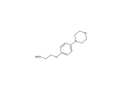 COCCOc1ccc(N2CC[N]CC2)cc1